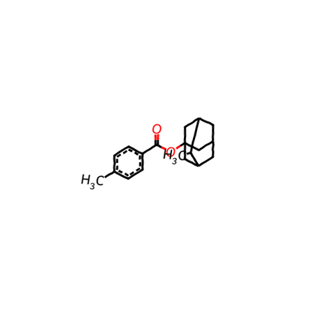 Cc1ccc(C(=O)OC23CC4CC(C2)C(C)C(C4)C3)cc1